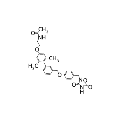 CC(=O)NCCOc1cc(C)c(-c2cccc(COc3ccc(Cn4oc(=O)[nH]c4=O)cc3)c2)c(C)c1